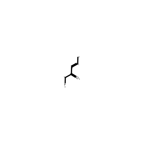 CC=CC(=O)CF